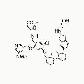 CNc1cncc(COc2cc(OCc3cccc(-c4cccc(-c5ccc6c(c5)CC(NCCO)C6)c4C)c3C)c(Cl)cc2CNC[C@@H](O)CC(=O)O)c1